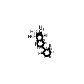 CC1(C)[C@H]2CC[C@]1(C#N)c1nnc(-c3c(F)cccc3F)cc12